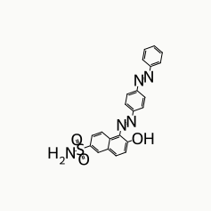 NS(=O)(=O)c1ccc2c(/N=N/c3ccc(/N=N/c4ccccc4)cc3)c(O)ccc2c1